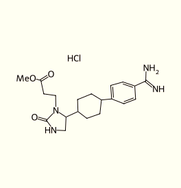 COC(=O)CCN1C(=O)NCC1C1CCC(c2ccc(C(=N)N)cc2)CC1.Cl